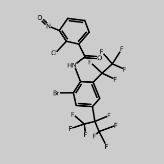 O=Nc1cccc(C(=O)Nc2c(Br)cc(C(F)(C(F)(F)F)C(F)(F)F)cc2C(F)(F)C(F)(F)F)c1Cl